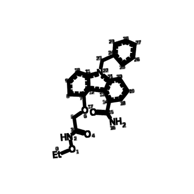 CCONC(=O)COc1cccc2c1c1c(C(N)=O)cccc1n2Cc1ccccc1